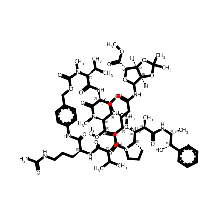 CC[C@H](C)[C@@H]([C@@H](CC(=O)N1CCC[C@H]1[C@H](OC)[C@@H](C)C(=O)N[C@H](C)[C@@H](O)c1ccccc1)OC)N(C)C(=O)[C@@H](NC(=O)[C@H](C(C)C)N(C)C(=O)OCc1ccc(NC(=O)[C@H](CCCNC(N)=O)NC(=O)[C@@H](NC(=O)[C@@H](N)CCC(=O)NC2O[C@H](C(=O)OC)[C@H]3OC(C)(C)O[C@@H]23)C(C)C)cc1)C(C)C